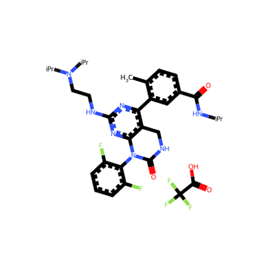 Cc1ccc(C(=O)NC(C)C)cc1-c1nc(NCCN(C(C)C)C(C)C)nc2c1CNC(=O)N2c1c(F)cccc1F.O=C(O)C(F)(F)F